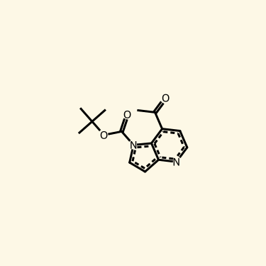 CC(=O)c1ccnc2ccn(C(=O)OC(C)(C)C)c12